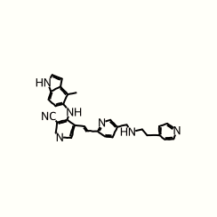 Cc1c(Nc2c(C#N)cncc2C=Cc2ccc(CNCCc3ccncc3)cn2)ccc2[nH]ccc12